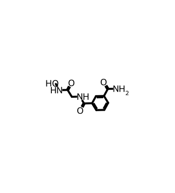 NC(=O)c1cccc(C(=O)NCC(=O)NO)c1